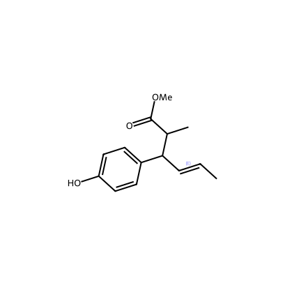 C/C=C/C(c1ccc(O)cc1)C(C)C(=O)OC